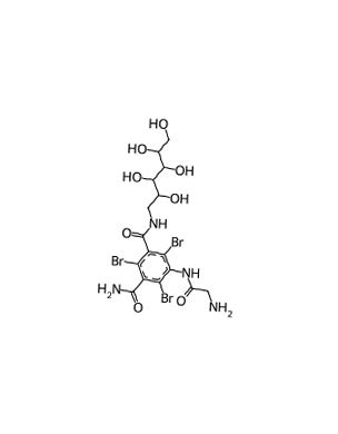 NCC(=O)Nc1c(Br)c(C(N)=O)c(Br)c(C(=O)NCC(O)C(O)C(O)C(O)CO)c1Br